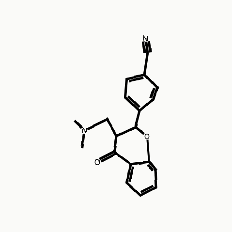 CN(C)CC1C(=O)c2ccccc2OC1c1ccc(C#N)cc1